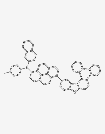 Cc1ccc(N(c2ccc3ccccc3c2)c2ccc3ccc4c(-c5ccc6oc7ccc8c9ccccc9c9ccccc9c8c7c6c5)ccc5ccc2c3c54)cc1